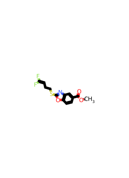 COC(=O)c1ccc2oc(SCCC=C(F)F)nc2c1